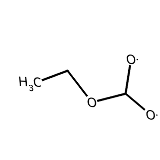 CCOC([O])[O]